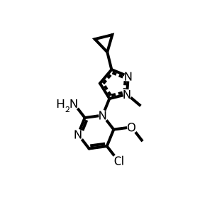 COC1C(Cl)=CN=C(N)N1c1cc(C2CC2)nn1C